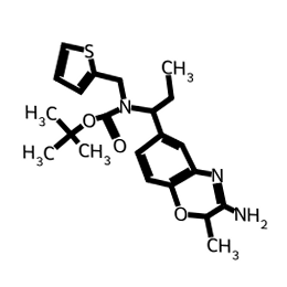 CCC(c1ccc2c(c1)N=C(N)C(C)O2)N(Cc1cccs1)C(=O)OC(C)(C)C